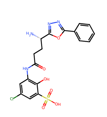 N[C@@H](CCC(=O)Nc1cc(Cl)cc(S(=O)(=O)O)c1O)c1nnc(-c2ccccc2)o1